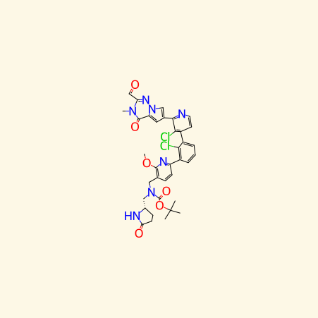 COc1nc(-c2cccc(-c3ccnc(-c4cc5c(=O)n(C)c(C=O)nn5c4)c3Cl)c2Cl)ccc1CN(C[C@@H]1CCC(=O)N1)C(=O)OC(C)(C)C